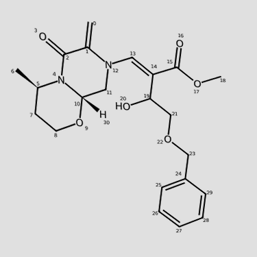 C=C1C(=O)N2[C@H](C)CCO[C@H]2CN1/C=C(/C(=O)OC)C(O)COCc1ccccc1